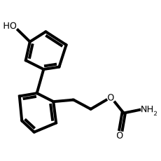 NC(=O)OCCc1ccccc1-c1cccc(O)c1